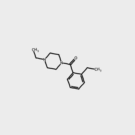 CCc1ccccc1C(=O)N1CCN(CC)CC1